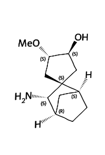 CO[C@H]1C[C@@]2(C[C@@H]1O)[C@H]1CC[C@H](C1)[C@@H]2N